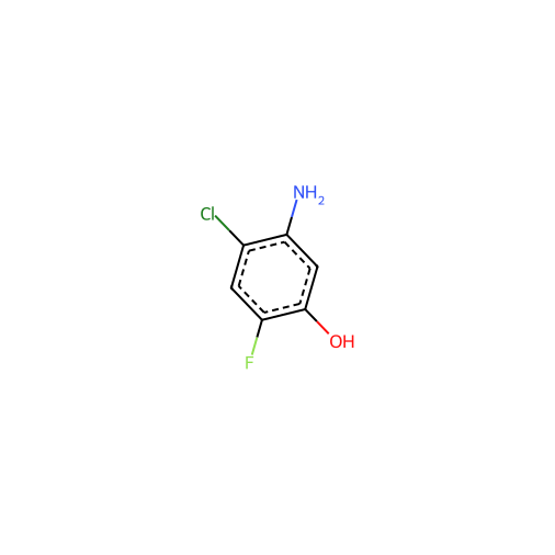 Nc1cc(O)c(F)cc1Cl